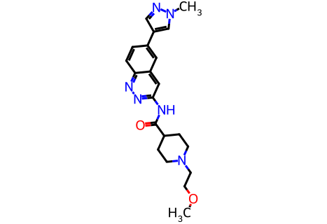 COCCN1CCC(C(=O)Nc2cc3cc(-c4cnn(C)c4)ccc3nn2)CC1